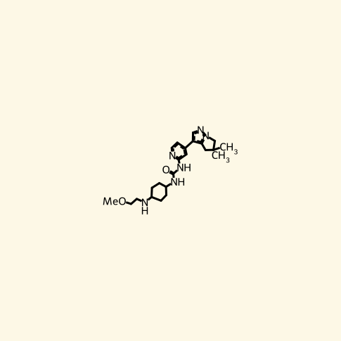 COCCNC1CCC(NC(=O)Nc2cc(-c3cnn4c3CC(C)(C)C4)ccn2)CC1